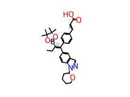 CC/C(B1OC(C)(C)C(C)(C)O1)=C(/c1ccc(/C=C/C(=O)O)cc1)c1ccc2c(cnn2C2CCCCO2)c1